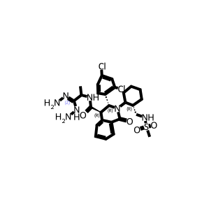 CC(NC(=O)[C@@H]1c2ccccc2C(=O)N(C2CCCC[C@@H]2CNS(C)(=O)=O)[C@H]1c1ccc(Cl)cc1Cl)/C(=N/N)NN